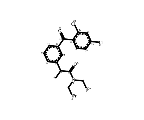 CC(C)CN(CC(C)C)C(=O)C(C)c1cccc(C(=O)c2ccc(Cl)cc2Cl)c1